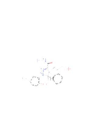 NC(=O)C1=NN2c3cc(Cl)ccc3OC[C@H]2[C@@]1(CCCO)c1ccccc1